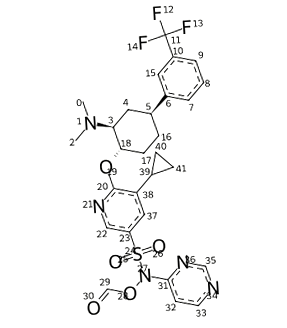 CN(C)[C@H]1C[C@@H](c2cccc(C(F)(F)F)c2)CC[C@@H]1Oc1ncc(S(=O)(=O)N(OC=O)c2ccncn2)cc1C1CC1